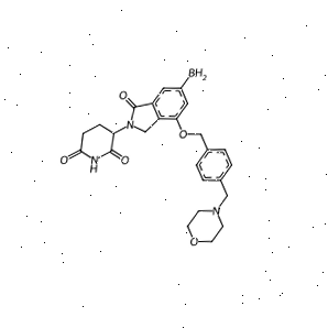 Bc1cc(OCc2ccc(CN3CCOCC3)cc2)c2c(c1)C(=O)N(C1CCC(=O)NC1=O)C2